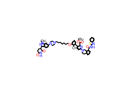 Cc1c(OCCCCCCCN2CCN(c3ccc4c(C5CCC(=O)NC5=O)nn(C)c4c3)CC2)cccc1-c1ccc(N2CCc3cccc(C(=O)Nc4nc5ccccc5s4)c3C2)nc1C(=O)OC(C)(C)C